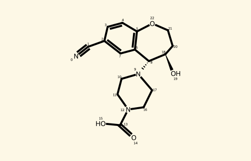 N#Cc1ccc2c(c1)[C@@H](N1CCN(C(=O)O)CC1)[C@H](O)CCO2